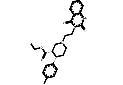 CCOC(=O)[C@@H]1CN(CCn2c(=O)[nH]c3ccccc3c2=O)CC[C@@H]1c1ccc(F)cc1